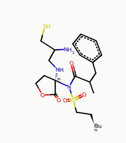 CC[C@H](C)CCS(=O)(=O)N(C(=O)C(C)Cc1ccccc1)[C@]1(NCC(N)CS)CCOC1=O